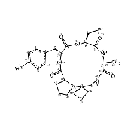 CC(C)C[C@@H]1NC(=O)[C@H](Cc2ccc(O)cc2)NC(=O)C2CCCN2C2(CNC(=O)[C@H](C)NC1=O)COC2